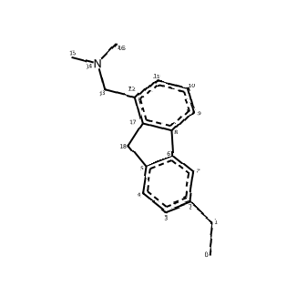 CCc1ccc2c(c1)-c1cccc(CN(C)C)c1C2